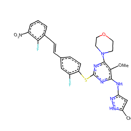 COc1c(Nc2cc(C)[nH]n2)nc(Sc2ccc(C=Cc3cccc([N+](=O)[O-])c3F)cc2F)nc1N1CCOCC1